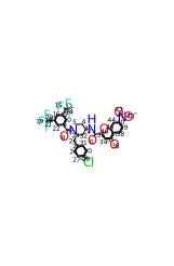 O=C(N[C@H]1CCN(C(=O)c2cc(C(F)(F)F)cc(C(F)(F)F)c2)[C@H](Cc2ccc(Cl)cc2)C1)c1cc(=O)c2ccc([N+](=O)[O-])cc2o1